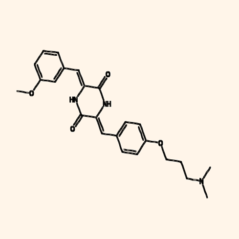 COc1cccc(C=c2[nH]c(=O)c(=Cc3ccc(OCCCN(C)C)cc3)[nH]c2=O)c1